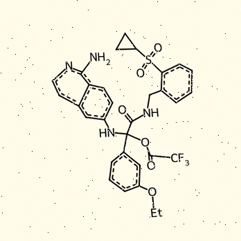 CCOc1cccc(C(Nc2ccc3c(N)nccc3c2)(OC(=O)C(F)(F)F)C(=O)NCc2ccccc2S(=O)(=O)C2CC2)c1